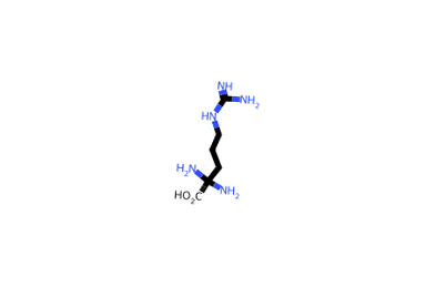 N=C(N)NCCCC(N)(N)C(=O)O